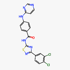 O=C(Nc1nc(-c2ccc(Cl)c(Cl)c2)ns1)c1ccc(Nc2ccncn2)cc1